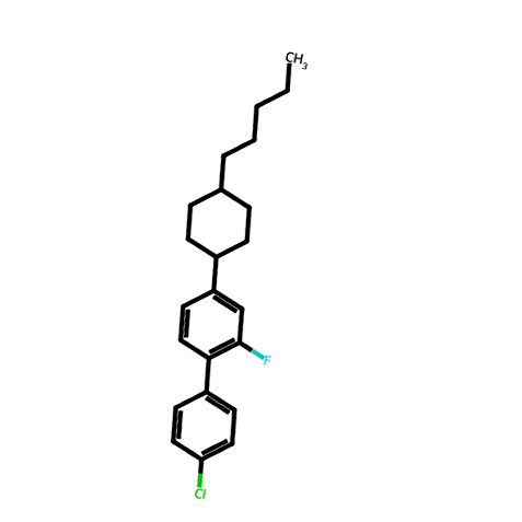 CCCCCC1CCC(c2ccc(-c3ccc(Cl)cc3)c(F)c2)CC1